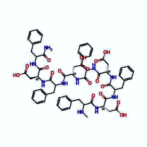 CNC(Cc1ccccc1)C(=O)N[C@@H](CC(=O)O)C(=O)NC(Cc1ccccc1)C(=O)N[C@@H](CC(=O)O)C(=O)NC(Cc1ccccc1)C(=O)N[C@@H](CC(=O)O)C(=O)NC(Cc1ccccc1)C(=O)N[C@@H](CC(=O)O)C(=O)NC(Cc1ccccc1)C(N)=O